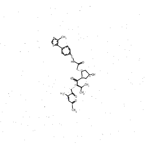 CC(=O)/C=C(/C)C(=O)C[C@H](C(=O)N1C[C@H](O)C[C@H]1CC(=O)NCc1ccc(-c2scnc2C)cc1)C(C)C